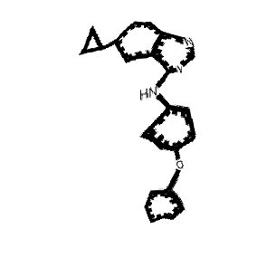 c1ccc(Oc2ccc(Nc3ncnc4ccc(C5CC5)cc34)cc2)cc1